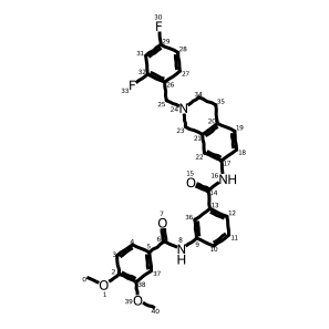 COc1ccc(C(=O)Nc2cccc(C(=O)Nc3ccc4c(c3)CN(Cc3ccc(F)cc3F)CC4)c2)cc1OC